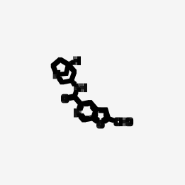 O=Cc1cc2cc(C(=O)N[C@@H]3C[C@H]4CCN(C4)C3)ncc2o1